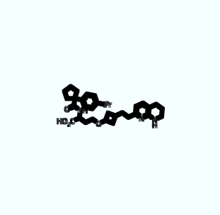 CC(C)c1ccc(C2(C(=O)NC(CCOC3CC(CCc4ccc5c(n4)NCCC5)C3)C(=O)O)CCCC2)cc1